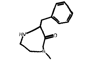 CN1CCNC(Cc2ccccc2)C1=O